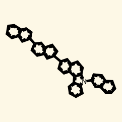 c1ccc2cc(-c3ccc4cc(-c5ccc6c(ccc7c6c6ccccc6n7-c6ccc7ccccc7c6)c5)ccc4c3)ccc2c1